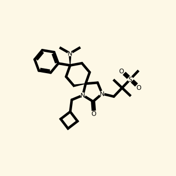 CN(C)[C@]1(c2ccccc2)CC[C@@]2(CC1)CN(CC(C)(C)S(C)(=O)=O)C(=O)N2CC1CCC1